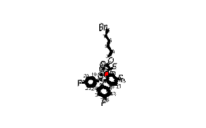 O=C(OCCCCCCBr)C(F)(F)S(=O)(=O)OS(c1ccc(F)cc1)(c1ccc(F)cc1)c1ccc(F)cc1